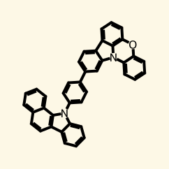 c1ccc2c(c1)Oc1cccc3c4ccc(-c5ccc(-n6c7ccccc7c7ccc8ccccc8c76)cc5)cc4n-2c13